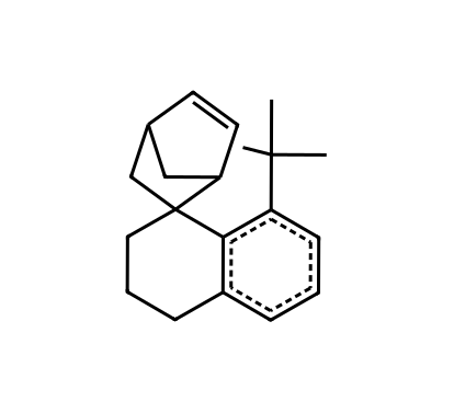 CC(C)(C)c1cccc2c1C1(CCC2)CC2C=CC1C2